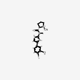 CN(C(=O)[C@@H]1CCCN1C#N)c1nc(-c2ccc(F)c(Cl)c2)cs1